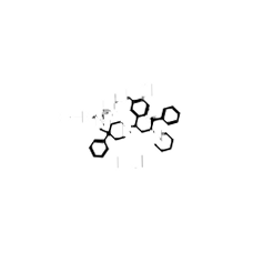 CCON(C=O)CC1(c2ccccc2)CCN(C(CC(C(=O)c2ccccc2)N2CCCCC2)c2ccc(Cl)c(Cl)c2)CC1.Cl